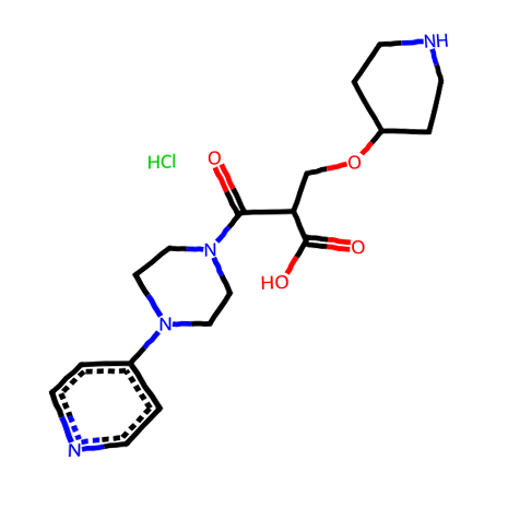 Cl.O=C(O)C(COC1CCNCC1)C(=O)N1CCN(c2ccncc2)CC1